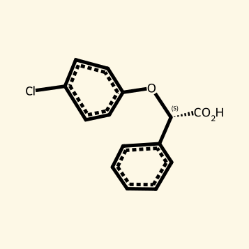 O=C(O)[C@@H](Oc1ccc(Cl)cc1)c1ccccc1